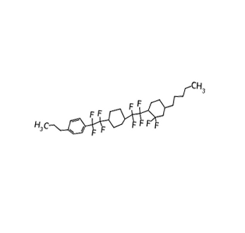 CCCCCC1CCC(C(F)(F)C(F)(F)C2CCC(C(F)(F)C(F)(F)c3ccc(CCC)cc3)CC2)C(F)(F)C1